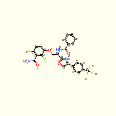 NC(=O)c1c(F)ccc(OCC(NC(=O)c2ccccc2)c2nc(-c3ccc(C(F)(F)F)cc3)co2)c1F